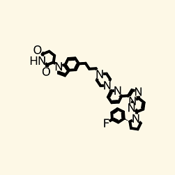 O=C1CCC(n2ccc3cc(CCCN4CCN(c5cccc(-c6cnc7ccc(N8CCC[C@@H]8c8cccc(F)c8)nn67)n5)CC4)ccc32)C(=O)N1